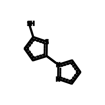 Sc1ccc(-n2cccn2)s1